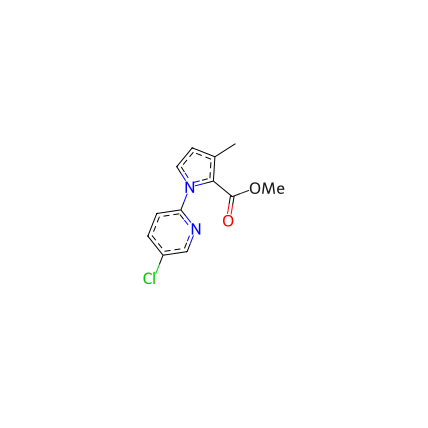 COC(=O)c1c(C)ccn1-c1ccc(Cl)cn1